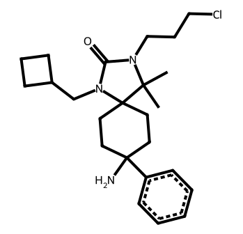 CC1(C)N(CCCCl)C(=O)N(CC2CCC2)C12CCC(N)(c1ccccc1)CC2